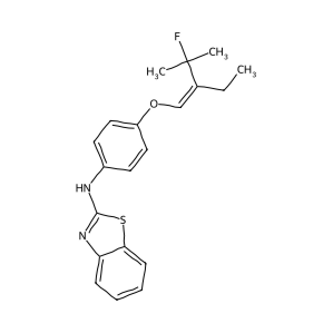 CC/C(=C/Oc1ccc(Nc2nc3ccccc3s2)cc1)C(C)(C)F